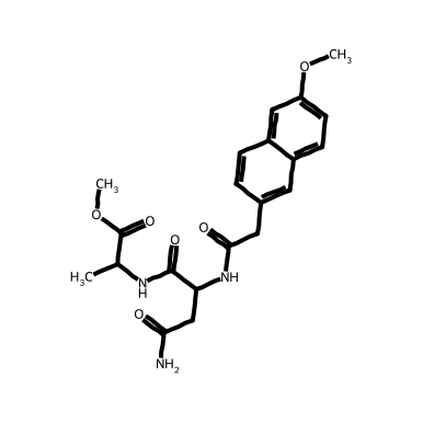 COC(=O)C(C)NC(=O)C(CC(N)=O)NC(=O)Cc1ccc2cc(OC)ccc2c1